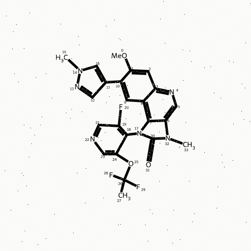 COc1cc2ncc3c(c2cc1-c1cnn(C)c1)n(-c1c(F)cncc1OC(C)(F)F)c(=O)n3C